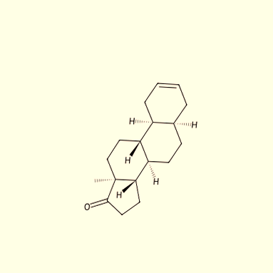 C[C@]12CC[C@H]3[C@@H](CC[C@@H]4CC=CC[C@@H]43)[C@@H]1CCC2=O